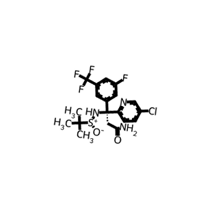 CC(C)(C)[S+]([O-])N[C@@](CC(N)=O)(c1cc(F)cc(C(F)(F)F)c1)c1ccc(Cl)cn1